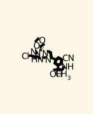 C[C@]1(CO)CNc2c(C#N)cc(-c3ccnc(Nc4cc(Cl)nn4C[C@@H]4COCCO4)n3)cc21